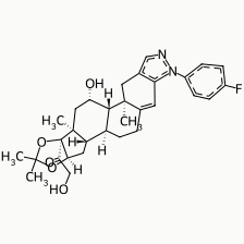 CC1(C)O[C@@H]2C[C@H]3[C@@H]4CCC5=Cc6c(cnn6-c6ccc(F)cc6)C[C@]5(C)[C@H]4[C@@H](O)C[C@]3(C)[C@]2(C(=O)CO)O1